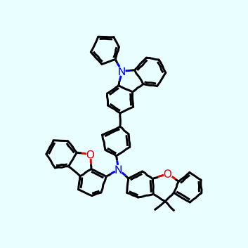 CC1(C)c2ccccc2Oc2cc(N(c3ccc(-c4ccc5c(c4)c4ccccc4n5-c4ccccc4)cc3)c3cccc4c3oc3ccccc34)ccc21